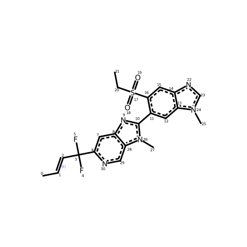 C/C=C/C(F)(F)c1cc2nc(-c3cc4c(cc3S(=O)(=O)CC)ncn4C)n(C)c2cn1